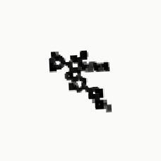 CCCCCn1c(=O)nc(-c2cncnc2)c2oc3ncc(-c4cnn(C)c4)cc3c21